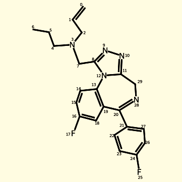 C=CCN(CCC)Cc1nnc2n1-c1ccc(F)cc1C(c1ccc(F)cc1)=NC2